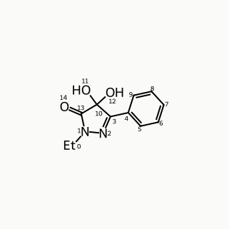 CCN1N=C(c2ccccc2)C(O)(O)C1=O